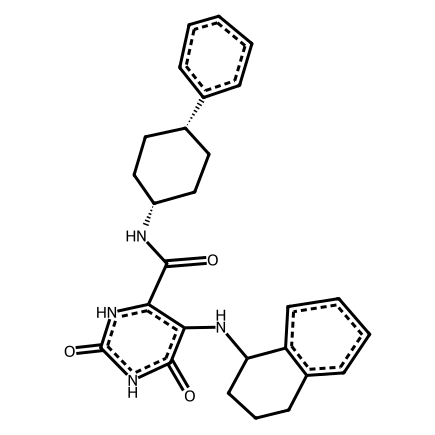 O=C(N[C@H]1CC[C@@H](c2ccccc2)CC1)c1[nH]c(=O)[nH]c(=O)c1NC1CCCc2ccccc21